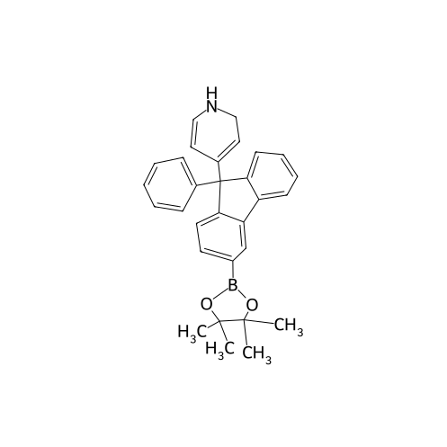 CC1(C)OB(c2ccc3c(c2)-c2ccccc2C3(C2=CCNC=C2)c2ccccc2)OC1(C)C